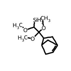 COC([SiH3])C(OC)(OC)C1CC2=CCC1C2